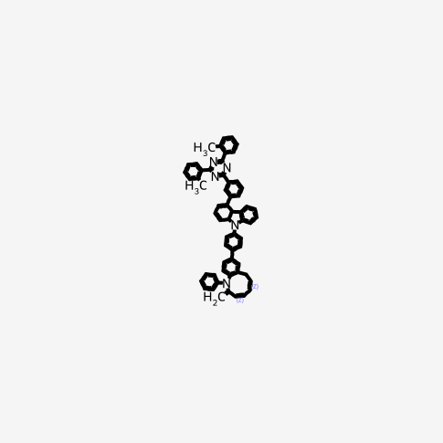 C=C1/C=C\C=C/Cc2cc(-c3ccc(N4c5ccccc5C5C(c6cccc(-c7nc(-c8ccccc8C)nc(-c8ccccc8C)n7)c6)=CC=CC54)cc3)ccc2N1c1ccccc1